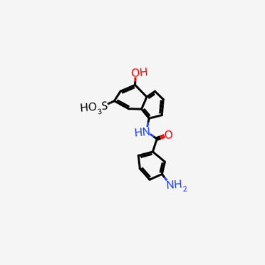 Nc1cccc(C(=O)Nc2cccc3c(O)cc(S(=O)(=O)O)cc23)c1